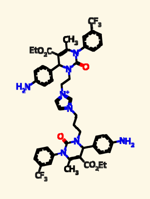 CCOC(=O)C1=C(C)N(c2cccc(C(F)(F)F)c2)C(=O)N(CCCn2cc[n+](CCN3C(=O)N(c4cccc(C(F)(F)F)c4)C(C)=C(C(=O)OCC)C3c3ccc(N)cc3)c2)C1c1ccc(N)cc1